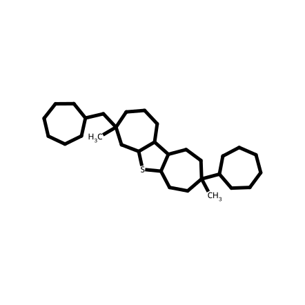 CC1(CC2CCCCCC2)CCCC2C(C1)SC1CCC(C)(C3CCCCCC3)CCC12